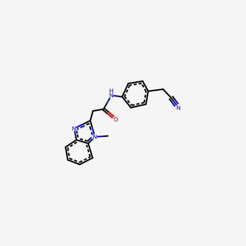 Cn1c(CC(=O)Nc2ccc(CC#N)cc2)nc2ccccc21